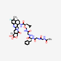 CCCCC(=O)NCC(=O)NCC(=O)N[C@@H](Cc1ccccc1)C(=O)NCC(=O)NCO[C@H](CC1CC1)C(=O)N[C@H]1CCc2c(C)c(F)cc3nc4c(c1c23)Cn1c-4cc2c(c1=O)COC(=O)[C@]2(O)CC